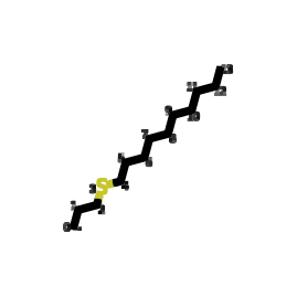 [CH2]CCSCCCCCCCCCC